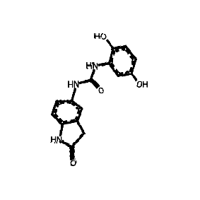 O=C1Cc2cc(NC(=O)Nc3cc(O)ccc3O)ccc2N1